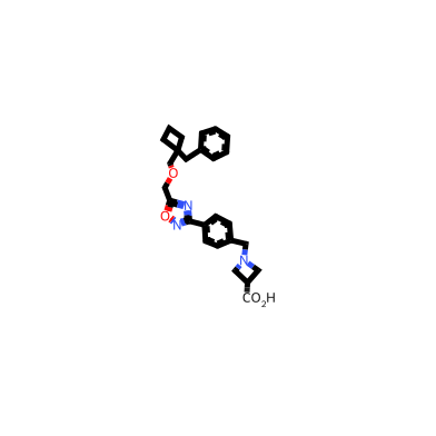 O=C(O)C1CN(Cc2ccc(-c3noc(COCC4(Cc5ccccc5)CCC4)n3)cc2)C1